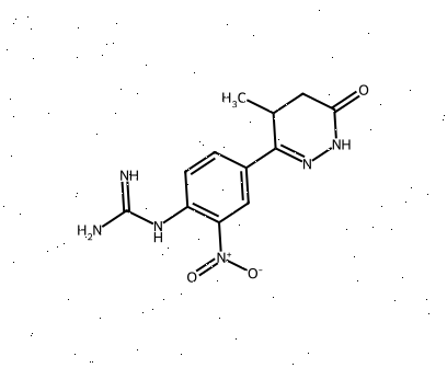 CC1CC(=O)NN=C1c1ccc(NC(=N)N)c([N+](=O)[O-])c1